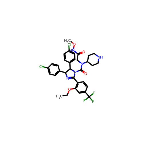 CCOc1cc(C(F)(F)F)ccc1C1=NC(c2ccc(Cl)cc2)C(c2ccc(Cl)cc2)N1C(=O)N(CC(=O)NOC)C1CCNCC1